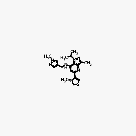 Cc1nn(C(C)C)c2c(NCc3cnn(C)c3)cc(C3=CSCN3C)nc12